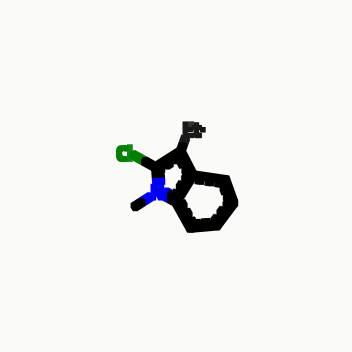 C[CH]c1c(Cl)n(C)c2ccccc12